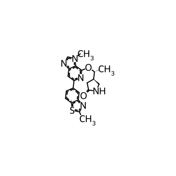 Cc1nc2cc(-c3cc4ncn(C)c4c(O[C@H](C)[C@H]4CNC(=O)C4)n3)ccc2s1